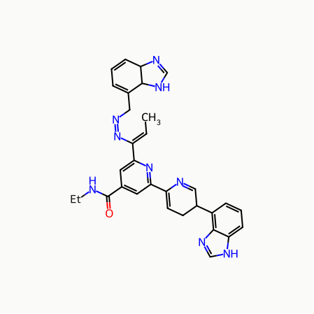 C/C=C(\N=N/CC1=CC=CC2N=CNC12)c1cc(C(=O)NCC)cc(C2=CCC(c3cccc4[nH]cnc34)C=N2)n1